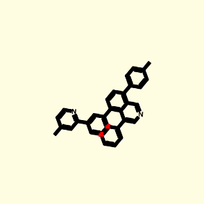 Cc1ccc(-c2ccc(-c3cccc(-c4cc(C)ccn4)c3)c3c(-c4ccccc4)cncc23)cc1